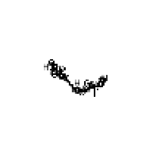 Cc1cnc(Nc2ccc3cnccc3c2)cc1N1CC(OC2CCN(CCCCCOc3ccc4c(c3)C(=O)N(C3CCC(=O)NC3=O)C4=O)CC2)C1